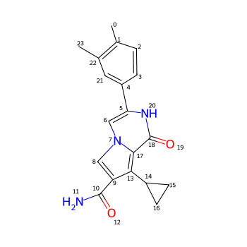 Cc1ccc(-c2cn3cc(C(N)=O)c(C4CC4)c3c(=O)[nH]2)cc1C